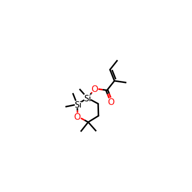 CC=C(C)C(=O)O[Si]1(C)CCC(C)(C)O[Si]1(C)C